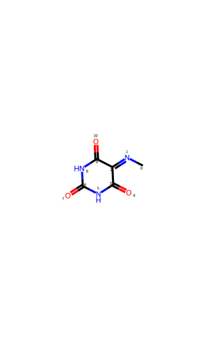 CN=C1C(=O)NC(=O)NC1=O